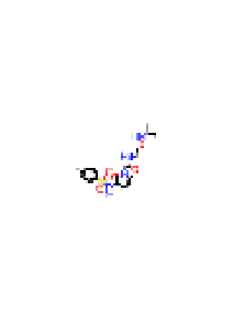 C=C(C)NOCCNC(=O)Cn1c(C)ccc(NS(=O)(=O)c2ccc(C)cc2)c1=O